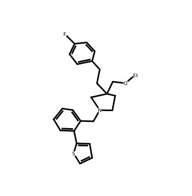 CCOCC1(CCc2ccc(F)cc2)CCN(Cc2ccccc2-c2cccs2)C1